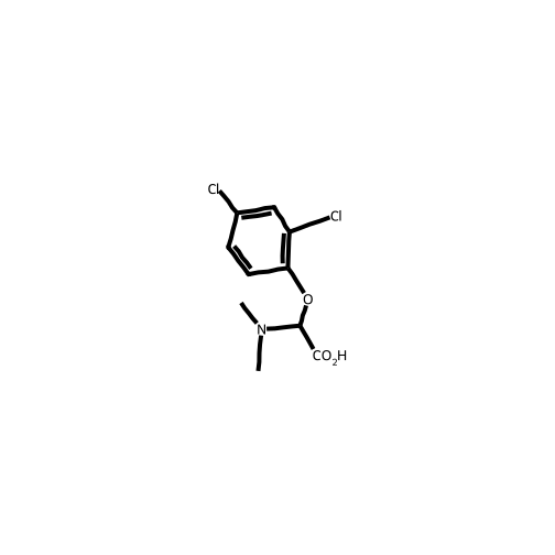 CN(C)C(Oc1ccc(Cl)cc1Cl)C(=O)O